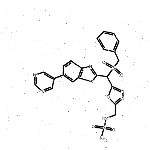 NS(=O)(=O)NCc1nnc(C(c2nc3ccc(-c4cncnc4)cc3s2)S(=O)(=O)Cc2ccccc2)o1